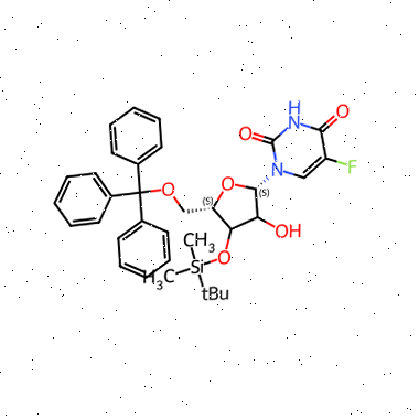 CC(C)(C)[Si](C)(C)OC1C(O)[C@@H](n2cc(F)c(=O)[nH]c2=O)O[C@H]1COC(c1ccccc1)(c1ccccc1)c1ccccc1